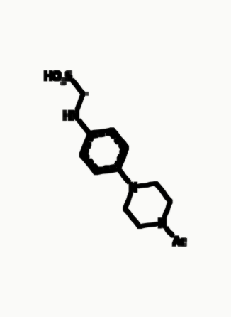 CC(=O)N1CCN(c2ccc(N[CH]S(=O)(=O)O)cc2)CC1